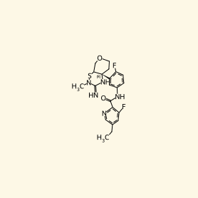 CCc1cnc(C(=O)Nc2ccc(F)c([C@]34CCOCC3SN(C)C(=N)N4)c2)c(F)c1